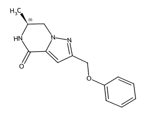 C[C@H]1Cn2nc(COc3ccccc3)cc2C(=O)N1